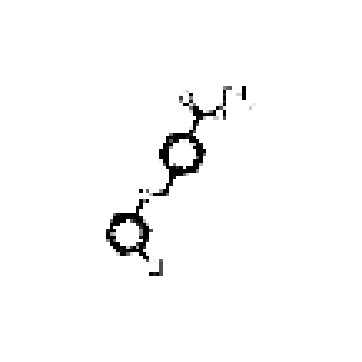 COC(=O)c1ccc(COc2cccc(Cl)c2)cc1